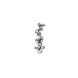 CCCOC(=O)CNC(=O)c1ccc(C(=O)NS(=O)(=O)c2ccc(C(=O)NC3CCCCC3)cc2)cn1